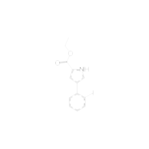 CCOC(=O)c1cc(-c2ccccc2I)c[nH]1